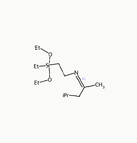 CCO[Si](CC)(CC/N=C(/C)CC(C)C)OCC